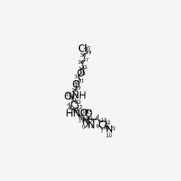 CC1=N/C(=C\c2ccc(N(C)C)cc2)C(=O)N1CC(=O)N[C@H]1CC[C@H](C(=O)NCCOCCOCCCCCCCl)CC1